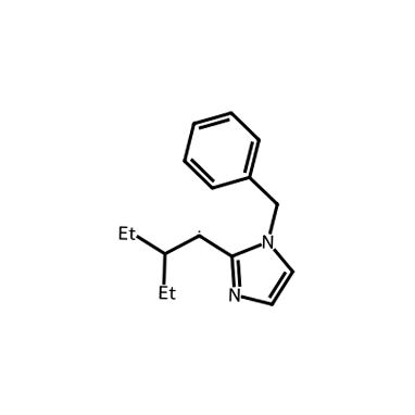 CCC([CH]c1nccn1Cc1ccccc1)CC